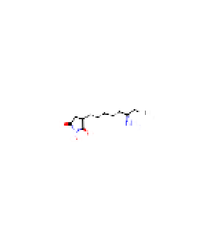 CCC(N)CCCCCC1CC(=O)N(O)C1=O